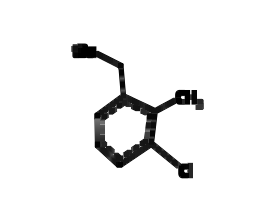 Cc1c(Cl)cccc1CC(C)(C)C